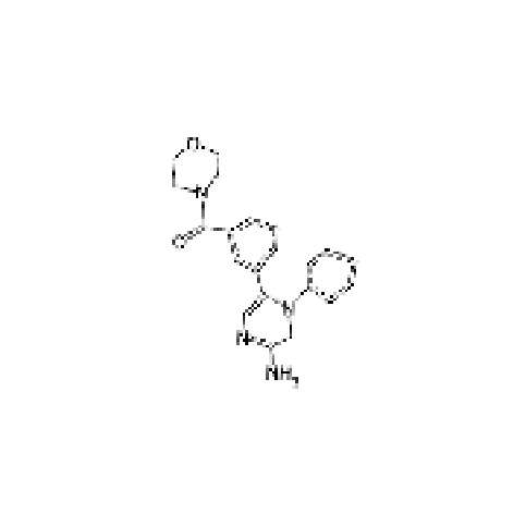 NC1=NC=C(c2cccc(C(=O)N3CCOCC3)c2)N(c2ccccc2)C1